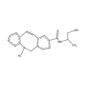 CC(=O)N1Cc2ccc(C(=O)NC(C)CO)cc2/C=C\c2ccccc21